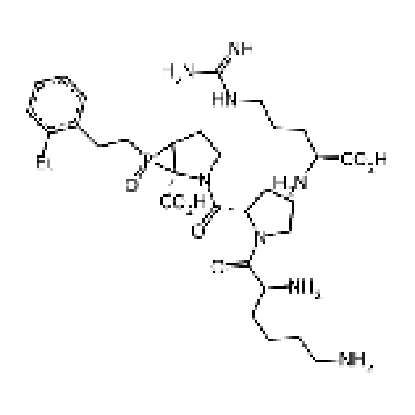 CCc1ccccc1CCP1(=O)C2CCN(C(=O)[C@@H]3CCCN3C(=O)[C@@H](N)CCCCN)[C@]21C(=O)O.N=C(N)NCCC[C@H](N)C(=O)O